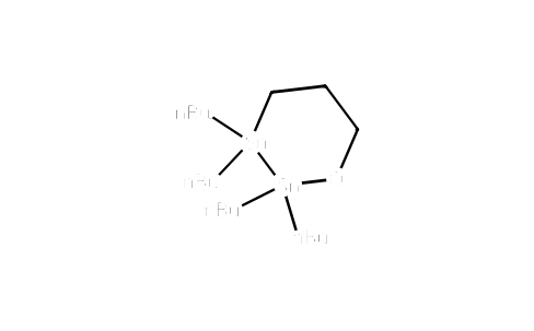 CCC[CH2][Sn]1([CH2]CCC)[CH2]CC[O][Sn]1([CH2]CCC)[CH2]CCC